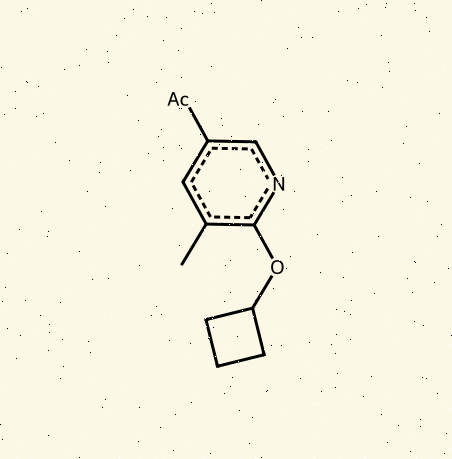 CC(=O)c1cnc(OC2CCC2)c(C)c1